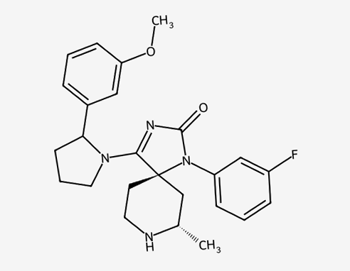 COc1cccc(C2CCCN2C2=NC(=O)N(c3cccc(F)c3)[C@@]23CCN[C@@H](C)C3)c1